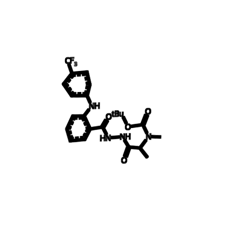 CC(C(=O)NNC(=O)c1ccccc1Nc1ccc(C(F)(F)F)cc1)N(C)C(=O)OC(C)(C)C